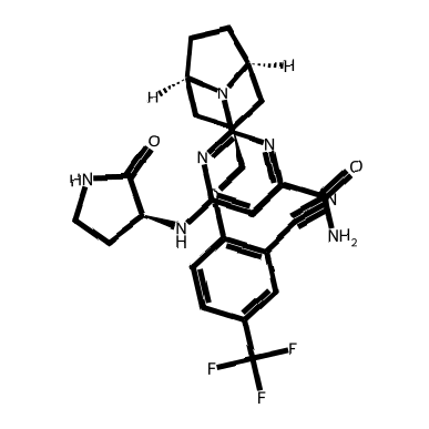 N#Cc1cc(C(F)(F)F)ccc1OC[C@H]1C[C@H]2CC[C@@H](C1)N2c1nc(N[C@H]2CCNC2=O)cc(C(N)=O)n1